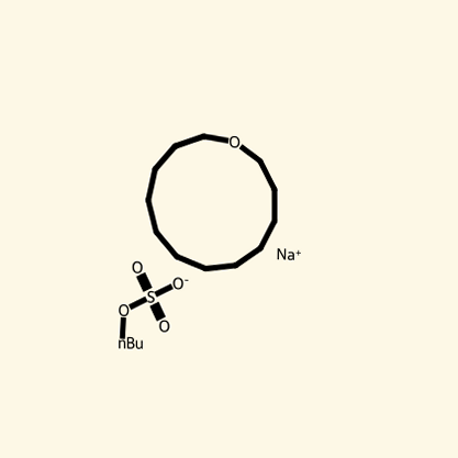 C1CCCCCCOCCCCC1.CCCCOS(=O)(=O)[O-].[Na+]